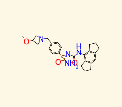 COC1CN(Cc2ccc(S(N)(=O)=NC(=O)Nc3c4c(cc5c3CCC5)CCC4)cc2)C1